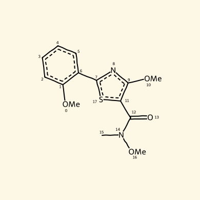 COc1ccccc1-c1nc(OC)c(C(=O)N(C)OC)s1